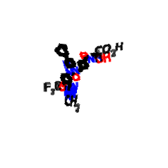 Cn1nnc(-c2cc(NC(=O)N(Cc3ccc(C(=O)NC[C@@H](O)C(=O)O)cc3)c3ccc(C4CCCCC4)cc3)ccc2OC(F)(F)F)n1